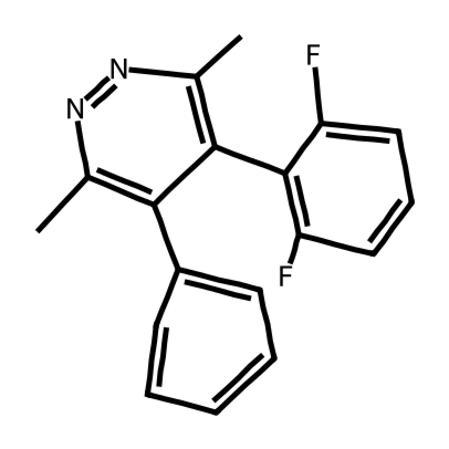 Cc1nnc(C)c(-c2c(F)cccc2F)c1-c1ccccc1